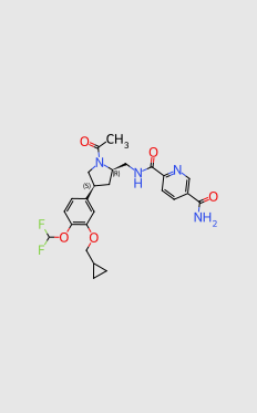 CC(=O)N1C[C@H](c2ccc(OC(F)F)c(OCC3CC3)c2)C[C@@H]1CNC(=O)c1ccc(C(N)=O)cn1